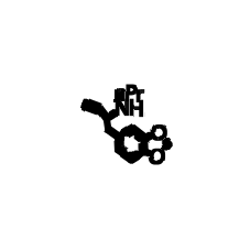 C#CC(Cc1ccc2c(c1)OCO2)NCCC